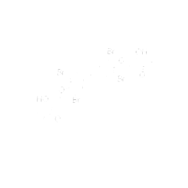 C=C(C)C(=O)C(O)COc1c(Br)cc(C(C)(C)c2cc(Br)c(OCC(O)C(=O)C(=C)C)c(Br)c2)cc1Br